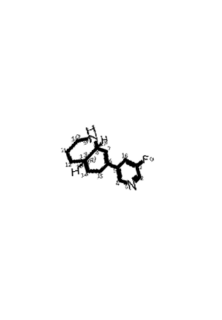 Fc1cncc(C2=C[C@H]3NCCC[C@H]3CC2)c1